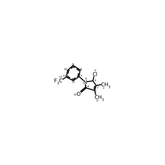 CC1=C(C)C(Cl)N(c2cccc(C(F)(F)F)c2)C1=O